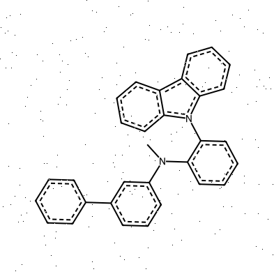 CN(c1cccc(-c2ccccc2)c1)c1ccccc1-n1c2ccccc2c2ccccc21